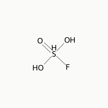 O=[SH](O)(O)F